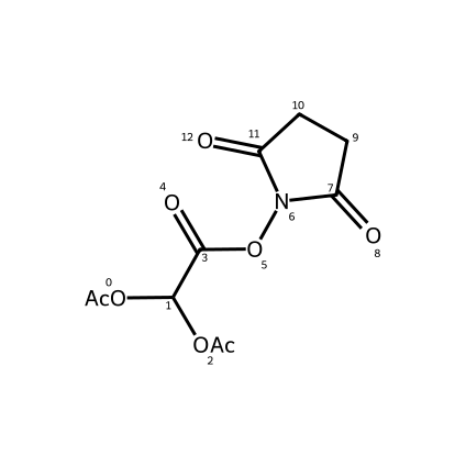 CC(=O)OC(OC(C)=O)C(=O)ON1C(=O)CCC1=O